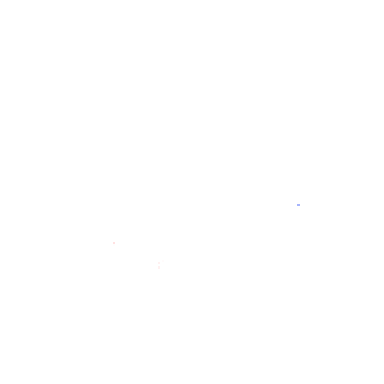 CCOC(=O)C=CC=Cc1ccccc1C#N